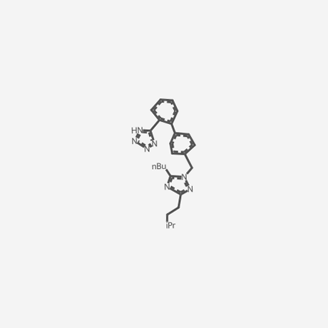 CCCCc1nc(CCC(C)C)nn1Cc1ccc(-c2ccccc2-c2nnn[nH]2)cc1